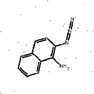 [N-]=[N+]=Nc1ccc2ccccc2c1N